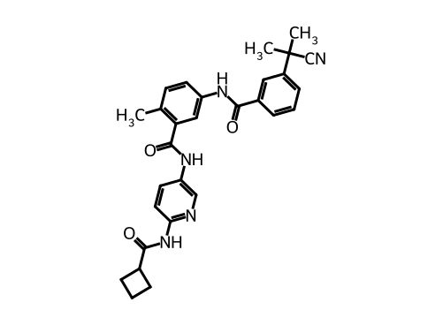 Cc1ccc(NC(=O)c2cccc(C(C)(C)C#N)c2)cc1C(=O)Nc1ccc(NC(=O)C2CCC2)nc1